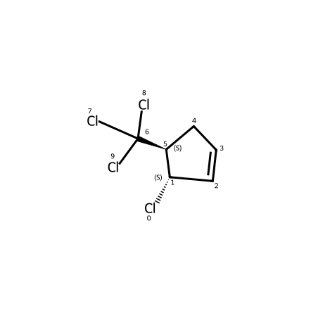 Cl[C@H]1C=CC[C@@H]1C(Cl)(Cl)Cl